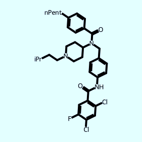 CCCCCc1ccc(C(=O)N(Cc2ccc(NC(=O)c3cc(F)c(Cl)cc3Cl)cc2)C2CCN(CCC(C)C)CC2)cc1